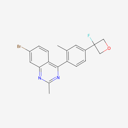 Cc1nc(-c2ccc(C3(F)COC3)cc2C)c2ccc(Br)cc2n1